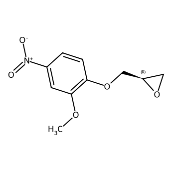 COc1cc([N+](=O)[O-])ccc1OC[C@H]1CO1